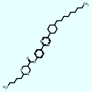 CCCCCCCCCC1CCC(c2cnc(-c3ccc(OC(=O)C4CSC(CCCCC)SC4)cc3)nc2)CC1